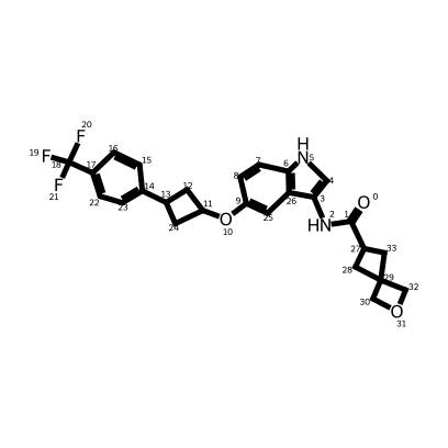 O=C(Nc1c[nH]c2ccc(OC3CC(c4ccc(C(F)(F)F)cc4)C3)cc12)C1CC2(COC2)C1